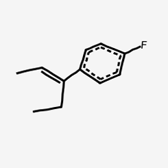 C/C=C(\CC)c1ccc(F)cc1